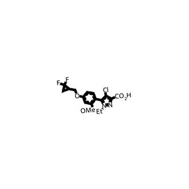 CCn1nc(C(=O)O)c(Cl)c1-c1ccc(OCC2CC2(F)F)cc1OC